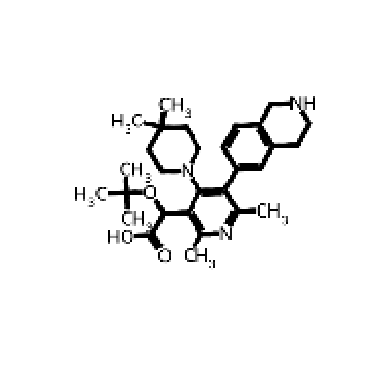 Cc1nc(C)c(C(OC(C)(C)C)C(=O)O)c(N2CCC(C)(C)CC2)c1-c1ccc2c(c1)CCNC2